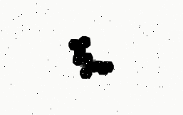 c1ccc(-c2nc(-c3ccc4c(ccc5ccccc54)c3)nc(-c3cccc4c3sc3cccc(-c5ccc6c(c5)c5ccccc5n6-c5ccccc5)c34)n2)cc1